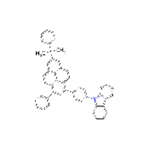 CC(C)(c1ccccc1)c1cc2ccc3c(-c4ccccc4)cc(-c4ccc(-n5c6ccccc6c6ccccc65)cc4)c4ccc(c1)c2c34